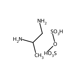 CC(N)CN.O=S(=O)(O)OS(=O)(=O)O